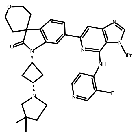 CC(C)n1cnc2cc(-c3ccc4c(c3)N([C@H]3C[C@@H](N5CCC(C)(C)C5)C3)C(=O)C43CCOCC3)nc(Nc3ccncc3F)c21